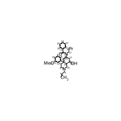 C=CCN1CCC2(c3cccc(OC)c3)C[C@@H](N(CC(C)C)C(=O)c3ccccc3)CC(O)C2C1